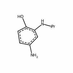 CC(C)Nc1cc(N)ccc1O